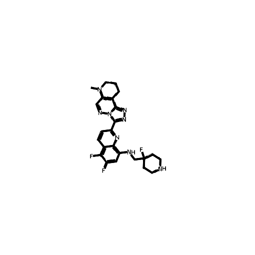 CN1CCCc2c1cnn1c(-c3ccc4c(F)c(F)cc(NCC5(F)CCNCC5)c4n3)nnc21